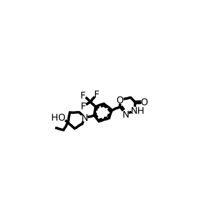 CCC1(O)CCN(c2ccc(C3=NNC(=O)CO3)cc2C(F)(F)F)CC1